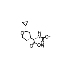 COC(=O)N[C@H](C(=O)O)[C@@H]1CCO[C@H](C2CC2)C1